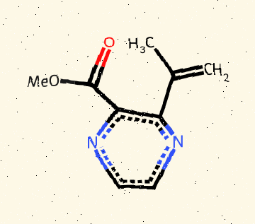 C=C(C)c1nccnc1C(=O)OC